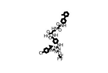 Cc1ccccc1-c1ccc(NC(=O)C(=O)NCCC(NC(=O)c2ccc(Nc3nc(NC4(c5ccc(Cl)cc5)CC4)nc(OCC(F)(F)F)n3)cc2)C(=O)O)cc1